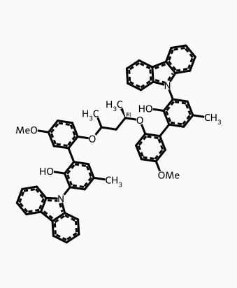 COc1ccc(OC(C)C[C@@H](C)Oc2ccc(OC)cc2-c2cc(C)cc(-n3c4ccccc4c4ccccc43)c2O)c(-c2cc(C)cc(-n3c4ccccc4c4ccccc43)c2O)c1